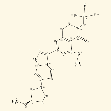 COc1cc(-c2cnc3cc(N4CC[C@@H](OC)C4)ccn23)cc2c1C(=O)N(CC(F)(F)F)CC2